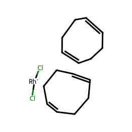 C1=CCCC=CCC1.C1=CCCC=CCC1.[Cl][Rh-][Cl]